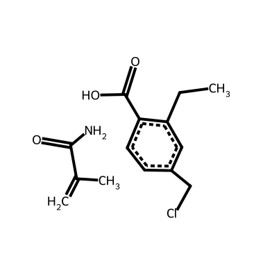 C=C(C)C(N)=O.CCc1cc(CCl)ccc1C(=O)O